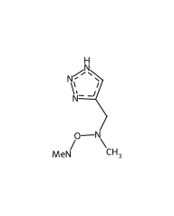 CNON(C)Cc1c[nH]nn1